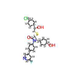 O=C1[C@H](SC[C@H](O)c2ccc(Cl)cc2)[C@@H](c2ccc(O)cc2)N1c1ccc(-c2cncc(F)c2)cc1